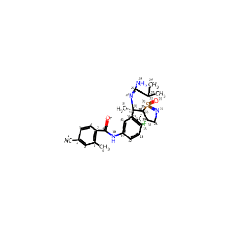 Cc1cc(C#N)ccc1C(=O)Nc1ccc(F)c([C@@]2(C)N=C(N)C(C)(C)[S@@]3(=O)=NCC[C@@H]23)c1